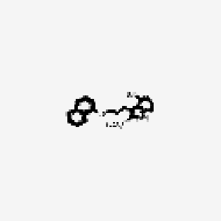 O=C(O)c1[nH]c2cccc(Br)c2c1CCCOc1cccc2ccccc12